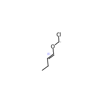 CC/C=C/O[CH]Cl